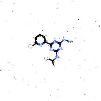 CCCNc1nc(NC(CC)C(F)(F)F)nc(-c2cccc(C(F)(F)F)n2)n1